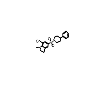 CN1CCc2cc(S(=O)(=O)N3CCC(c4ccccc4)CC3)cc(Br)c21